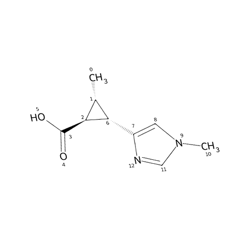 C[C@H]1[C@H](C(=O)O)[C@H]1c1cn(C)cn1